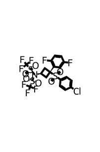 O=S(=O)(N([C@H]1C[C@](c2cc(F)ccc2F)(S(=O)(=O)c2ccc(Cl)cc2)C1)S(=O)(=O)C(F)(F)F)C(F)(F)F